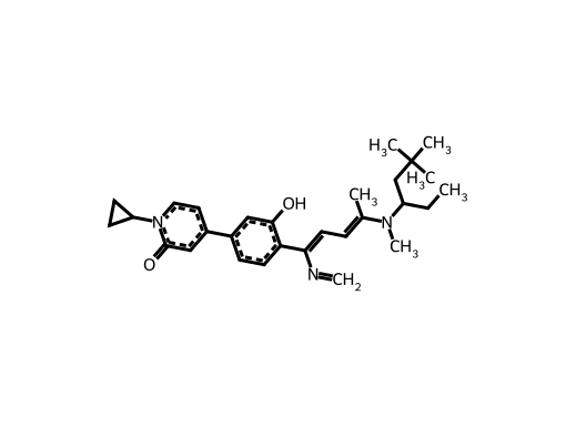 C=N/C(=C\C=C(/C)N(C)C(CC)CC(C)(C)C)c1ccc(-c2ccn(C3CC3)c(=O)c2)cc1O